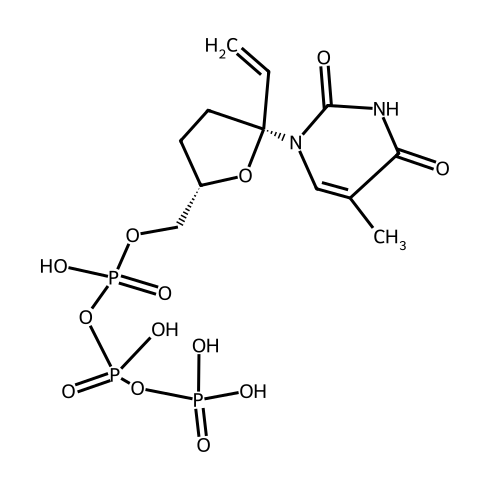 C=C[C@]1(n2cc(C)c(=O)[nH]c2=O)CC[C@@H](COP(=O)(O)OP(=O)(O)OP(=O)(O)O)O1